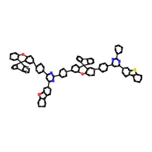 c1ccc(-c2nc(-c3ccc(-c4ccc5c(c4)C4(c6ccc(-c7ccc(-c8nc(-c9ccc(-c%10ccc%11c(c%10)C%10(c%12ccccc%12O%11)c%11ccccc%11-c%11ccccc%11%10)cc9)cc(-c9ccc%10c(c9)oc9ccccc9%10)n8)cc7)cc6O5)c5ccccc5-c5ccccc54)cc3)cc(-c3ccc4c(c3)sc3ccccc34)n2)cc1